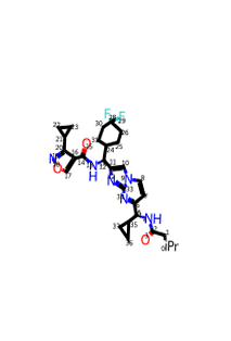 CC(C)CC(=O)N[C@H](c1ccn2cc([C@@H](NC(=O)c3conc3C3CC3)C3CCC(F)(F)CC3)nc2n1)C1CC1